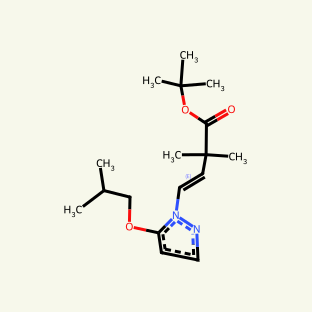 CC(C)COc1ccnn1/C=C/C(C)(C)C(=O)OC(C)(C)C